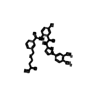 Cc1ccc(-n2ccc(NC(=O)c3cc(Cl)ccc3NC(=O)c3cccc(CSCCC(=O)O)c3)n2)cc1C